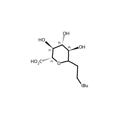 CC(C)(C)CCC1O[C@H](C(=O)O)[C@@H](O)[C@H](O)[C@H]1O